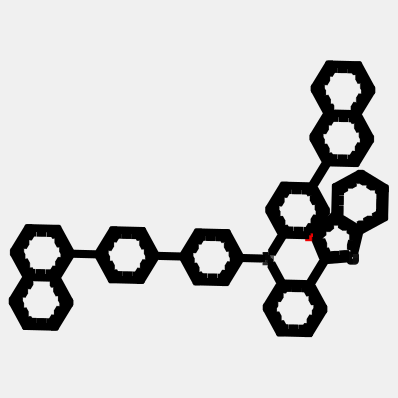 c1ccc(N(c2ccc(-c3ccc(-c4cccc5ccccc45)cc3)cc2)c2ccc(-c3ccc4ccccc4c3)cc2)c(-c2cc3ccccc3o2)c1